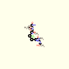 COc1nc(-c2cccc(-c3cccc(-c4cc5c(=O)n(C)c(CN6CC(C)(O)C6)nn5c4)c3Cl)c2Cl)ccc1CN(C[C@@H]1CCC(=O)N1)C(=O)OC(C)(C)C